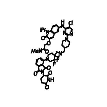 CNC(=O)COc1cc2cc(Nc3nc(N4CCC(CN5CC6(CCN(c7cccc8c7C(=O)N(C7CCC(=O)NC7=O)C8=O)CC6(F)F)C5)CC4)ncc3Cl)ccc2n(C(C)C)c1=O